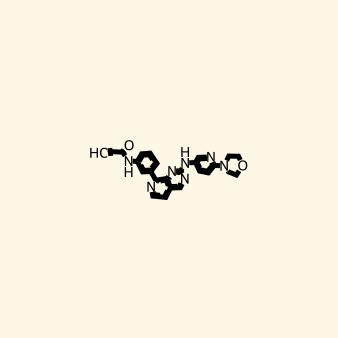 C#CC(=O)Nc1cccc(-c2nccc3cnc(Nc4ccc(N5CCOCC5)nc4)nc23)c1